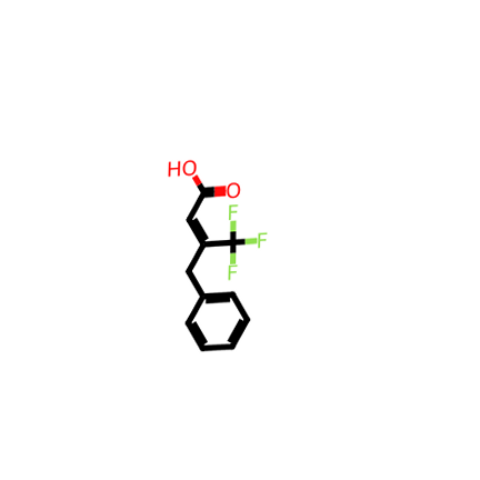 O=C(O)C=C(Cc1ccccc1)C(F)(F)F